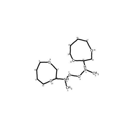 C[SiH](OO[SiH](C)C1COCCCCO1)C1COCCCCO1